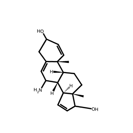 C[C@]12C=CC(O)CC1=CC(N)[C@@H]1[C@H]2CC[C@]2(C)C(O)C=C[C@@H]12